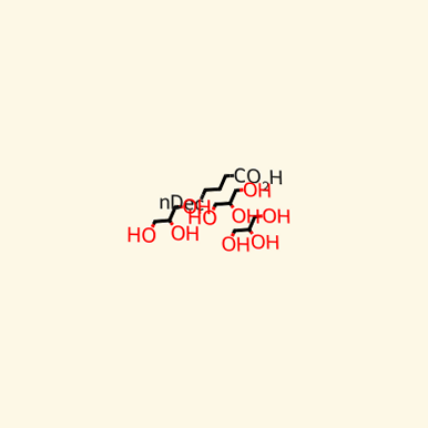 CCCCCCCCCCCCCC(=O)O.OCC(O)CO.OCC(O)CO.OCC(O)CO